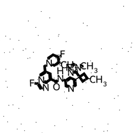 C[C@@H]1CN(Cc2cc(C(=O)Nc3cncc([C@]4(c5nncn5C)C[C@@H](C)C4)c3)c3ncc(F)n3c2)CC[C@@H]1F